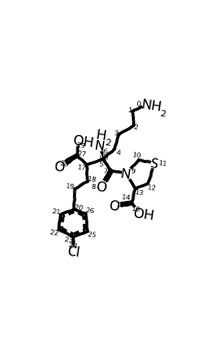 NCCCC[C@](N)(C(=O)N1CSCC1C(=O)O)C(CCc1ccc(Cl)cc1)C(=O)O